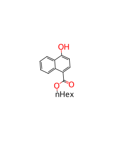 CCCCCCOC(=O)c1ccc(O)c2ccccc12